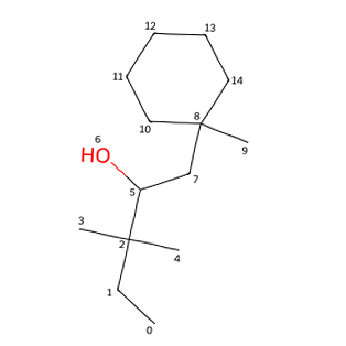 CCC(C)(C)C(O)CC1(C)CCCCC1